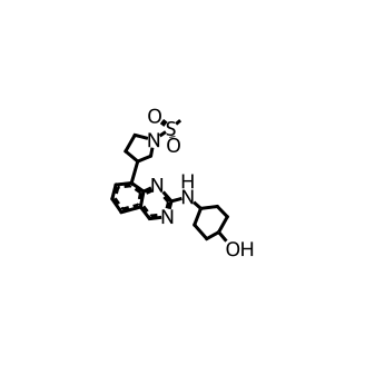 CS(=O)(=O)N1CCC(c2cccc3cnc(NC4CCC(O)CC4)nc23)C1